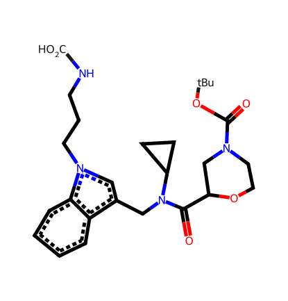 CC(C)(C)OC(=O)N1CCOC(C(=O)N(Cc2cn(CCCNC(=O)O)c3ccccc23)C2CC2)C1